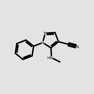 CNc1c(C#N)cnn1-c1ccccc1